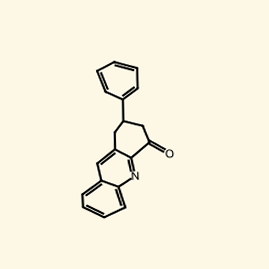 O=C1CC(c2ccccc2)Cc2cc3ccccc3nc21